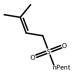 CCCCCS(=O)(=O)CC=C(C)C